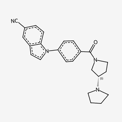 N#Cc1ccc2c(ccn2-c2ccc(C(=O)N3CC[C@H](N4CCCC4)C3)cc2)c1